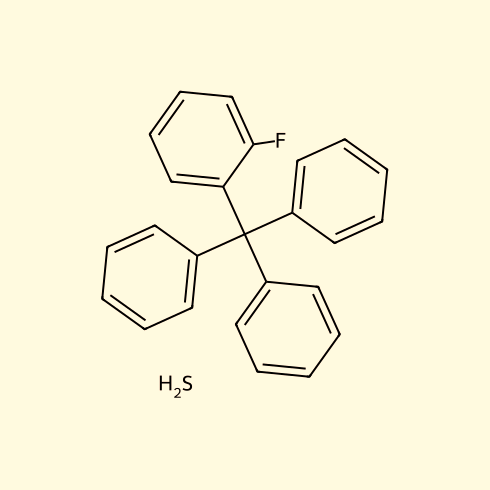 Fc1ccccc1C(c1ccccc1)(c1ccccc1)c1ccccc1.S